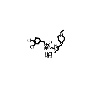 CCN1CCN(Cc2csc(NC(=O)NCc3ccc(Cl)c(Cl)c3)n2)CC1.Cl.Cl